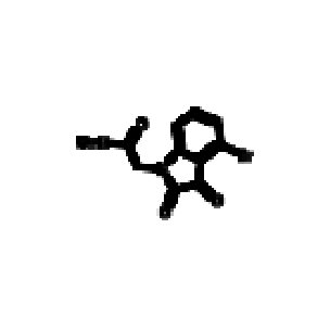 COC(=O)CN1C(=O)C(=O)c2c(Br)cccc21